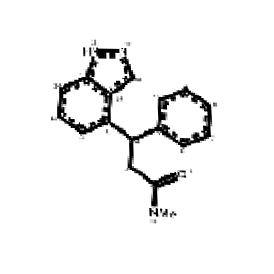 CNC(=O)CC(c1ccccc1)c1cccc2[nH]ncc12